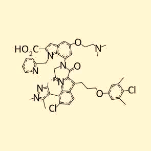 Cc1cc(OCCCc2c3n(c4c(-c5c(C)nn(C)c5C)c(Cl)ccc24)[C@H](C)CN(c2cc(OCCN(C)C)cc4cc(C(=O)O)n(Cc5ccccn5)c24)C3=O)cc(C)c1Cl